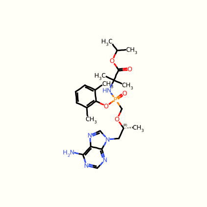 Cc1cccc(C)c1OP(=O)(CO[C@H](C)Cn1cnc2c(N)ncnc21)NC(C)(C)C(=O)OC(C)C